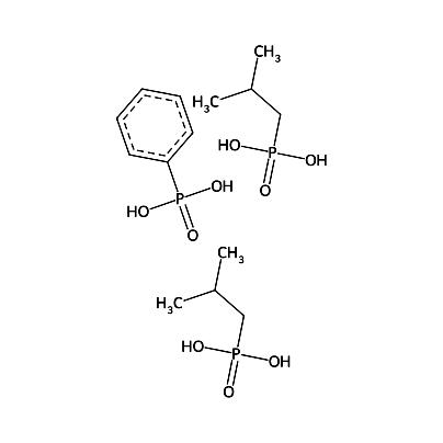 CC(C)CP(=O)(O)O.CC(C)CP(=O)(O)O.O=P(O)(O)c1ccccc1